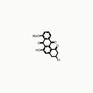 CCC1CC(=O)c2c(cc(O)c3c2C(=O)c2cccc(OC)c2C3=O)C1